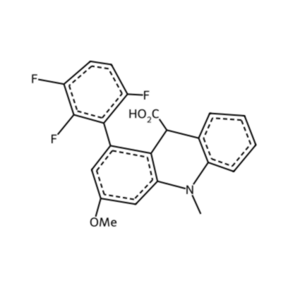 COc1cc(-c2c(F)ccc(F)c2F)c2c(c1)N(C)c1ccccc1C2C(=O)O